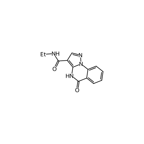 CCNC(=O)c1cnn2c1[nH]c(=O)c1ccccc12